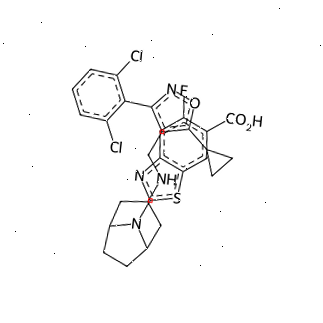 O=C(O)c1cc2sc(N3C4CCC3CC(NCc3c(-c5c(Cl)cccc5Cl)noc3C3CC3)C4)nc2cc1F